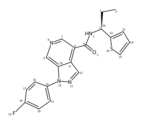 CC[C@H](NC(=O)c1cncc2c1cnn2-c1ccc(F)cc1)c1cccs1